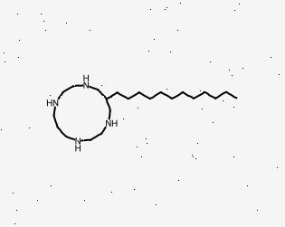 CCCCCCCCCCCCC1CNCCNCCCNCCNC1